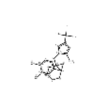 Cc1cc(C(F)(F)F)nn1CC12CNCCC1(c1ccc(Cl)c(Cl)c1)C2